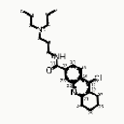 CCCN(CCC)CCCNC(=O)c1ccc2c(Cl)c3c(nc2c1)CCCC3